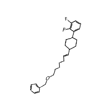 Fc1cccc(C2CCC(C=CCCCCCOCc3ccccc3)CC2)c1F